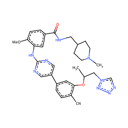 COc1ccc(C(=O)NCC2CCN(C)CC2)cc1Nc1ncc(-c2ccc(C#N)c(OC(C)Cn3cnnn3)c2)cn1